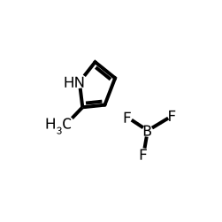 Cc1ccc[nH]1.FB(F)F